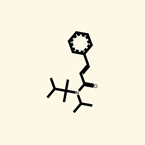 CC(C)N(C(=O)C=Cc1ccccc1)C(C)(C)C(C)C